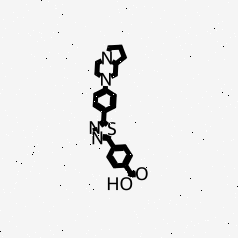 O=C(O)c1ccc(-c2nnc(-c3ccc(N4CCN5CCCC5C4)cc3)s2)cc1